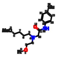 CCOCCN(CCCCOC)CC(=O)Nc1ccc(C(C)(C)C)cc1